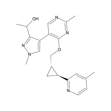 Cc1ccnc([C@H]2C[C@@H]2COc2nc(C)ncc2-c2cn(C)nc2C(C)O)c1